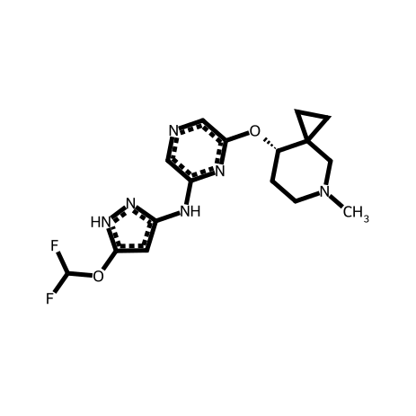 CN1CC[C@H](Oc2cncc(Nc3cc(OC(F)F)[nH]n3)n2)C2(CC2)C1